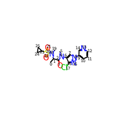 CC(C(=O)N(C)c1cn(-c2cccnc2)nc1Cl)N(C)S(=O)(=O)C1CC1